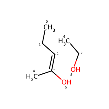 CC/C=C(\C)O.CCO